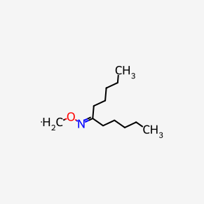 [CH2]ON=C(CCCCC)CCCCC